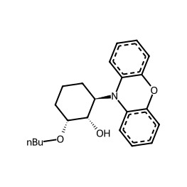 CCCCO[C@@H]1CCC[C@@H](N2c3ccccc3Oc3ccccc32)[C@@H]1O